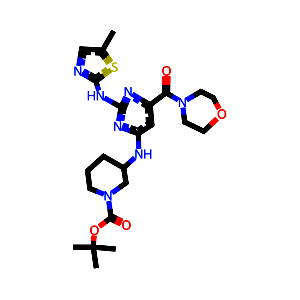 Cc1cnc(Nc2nc(NC3CCCN(C(=O)OC(C)(C)C)C3)cc(C(=O)N3CCOCC3)n2)s1